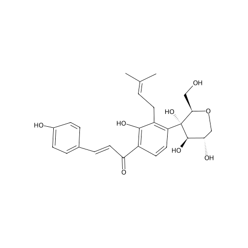 CC(C)=CCc1c([C@]2(O)[C@H](O)[C@@H](O)CO[C@@H]2CO)ccc(C(=O)/C=C/c2ccc(O)cc2)c1O